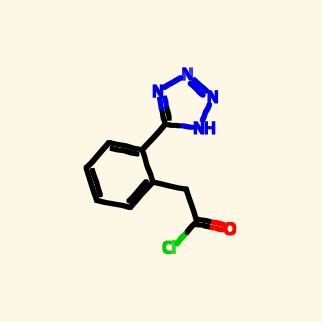 O=C(Cl)Cc1ccccc1-c1nnn[nH]1